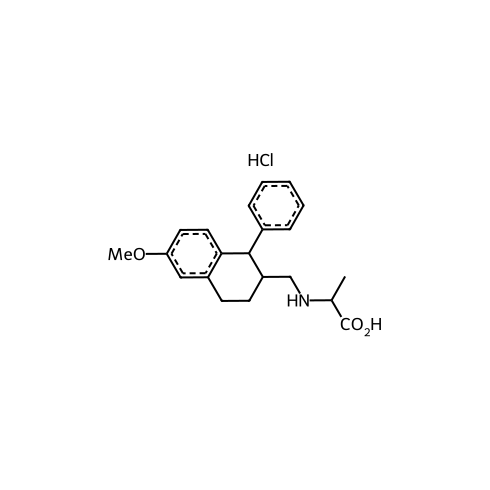 COc1ccc2c(c1)CCC(CNC(C)C(=O)O)C2c1ccccc1.Cl